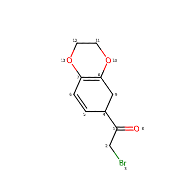 O=C(CBr)C1C=CC2=C(C1)OCCO2